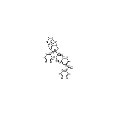 CC1(C)C2CC1CC1(CCc3c(c4ccccc4c4nc5cc(C(=O)c6ccccc6)ccc5nc34)O1)C2